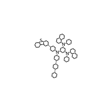 c1ccc(-c2ccc(-c3ccc(N(c4ccc(-c5ccc6sc7ccccc7c6c5)cc4)c4cc(N(c5ccccc5)c5cccc6ccccc56)cc(N(c5ccccc5)c5cccc6ccccc56)c4)cc3)cc2)cc1